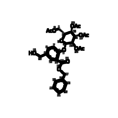 CC(=O)OC[C@H]1O[C@@H](Oc2ccc(CO)cc2C(=O)OCc2ccccc2)[C@H](OC(C)=O)[C@@H](OC(C)=O)[C@H]1OC(C)=O